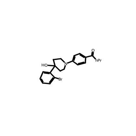 CCCC(=O)c1ccc(N2CCC(O)(c3ccccc3Br)CC2)cc1